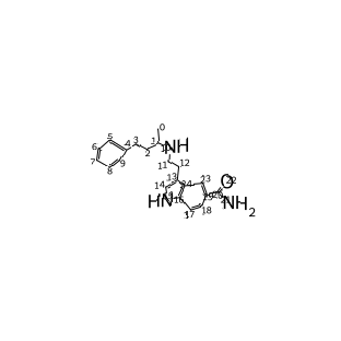 CC(CCc1ccccc1)NCCc1c[nH]c2ccc(C(N)=O)cc12